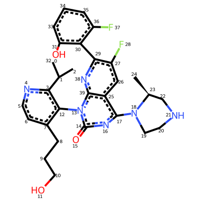 CC(C)c1nccc(CCCO)c1-n1c(=O)nc(N2CCNC[C@@H]2C)c2cc(F)c(-c3c(O)cccc3F)nc21